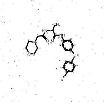 CC(NC(=O)CN1CCSCC1)C(=O)Nc1ccc(Oc2ccc(F)cc2)cc1